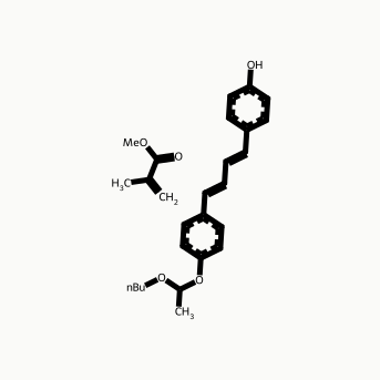 C=C(C)C(=O)OC.CCCCOC(C)Oc1ccc(C=CC=Cc2ccc(O)cc2)cc1